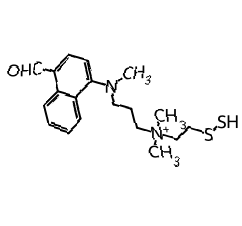 CN(CCC[N+](C)(C)CCSS)c1ccc(C=O)c2ccccc12